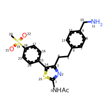 CC(=O)Nc1nc(CCc2ccc(CN)cc2)c(-c2ccc(S(C)(=O)=O)cc2)s1